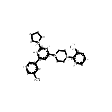 N#Cc1cncc(-c2cc(N3CCN(c4ncccc4C(F)(F)F)CC3)nc(N3CCCC3)n2)c1